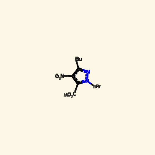 CCCn1nc(C(C)CC)c([N+](=O)[O-])c1C(=O)O